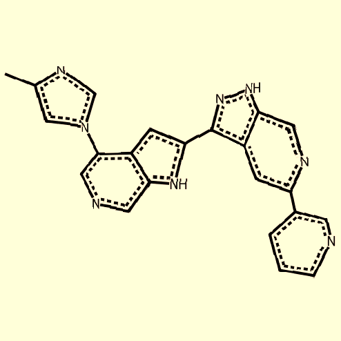 Cc1cn(-c2cncc3[nH]c(-c4n[nH]c5cnc(-c6cccnc6)cc45)cc23)cn1